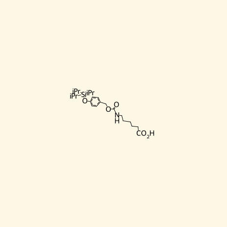 CC(C)[Si](Oc1ccc(COC(=O)NCCCCCC(=O)O)cc1)(C(C)C)C(C)C